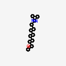 c1cc(-c2cnc3c4ccccc4c4ccccc4c3n2)cc(-c2cccc3c(-c4cccc5c(-c6cccc7c(-c8cccc9c8oc8ccccc89)cccc67)cccc45)cccc23)c1